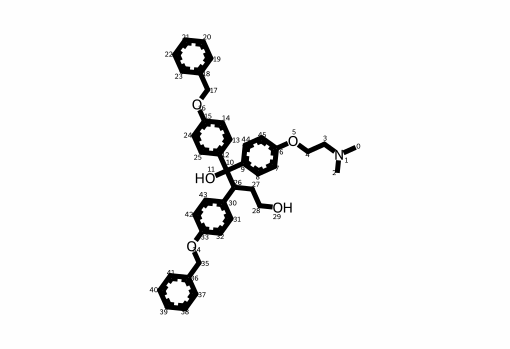 CN(C)CCOc1ccc(C(O)(c2ccc(OCc3ccccc3)cc2)C(CCO)c2ccc(OCc3ccccc3)cc2)cc1